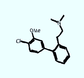 COc1cc(-c2ccccc2CCN(C)C)ccc1Cl